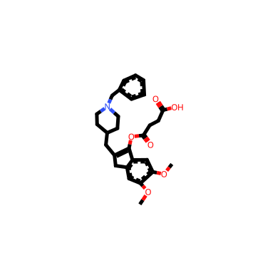 COc1cc2c(cc1OC)C(OC(=O)CCC(=O)O)=C(CC1CCN(Cc3ccccc3)CC1)C2